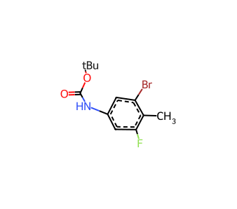 Cc1c(F)cc(NC(=O)OC(C)(C)C)cc1Br